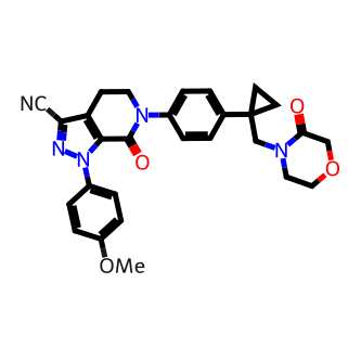 COc1ccc(-n2nc(C#N)c3c2C(=O)N(c2ccc(C4(CN5CCOCC5=O)CC4)cc2)CC3)cc1